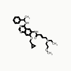 CCN(CC=CC(=O)Nc1cc2c(NC(C)c3ccccc3)ncnc2cc1OCC1CC1)CCOC